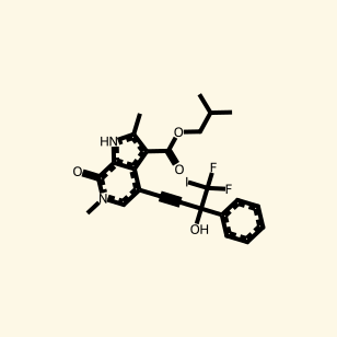 Cc1[nH]c2c(=O)n(C)cc(C#CC(O)(c3ccccc3)C(F)(F)I)c2c1C(=O)OCC(C)C